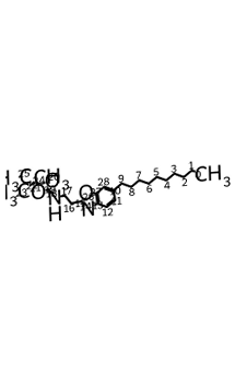 CCCCCCCCCCc1ccc2nc(CCNC(=O)OC(C)(C)C)oc2c1